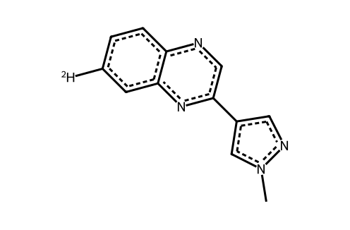 [2H]c1ccc2ncc(-c3cnn(C)c3)nc2c1